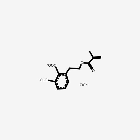 C=C(C)C(=O)OCCc1cccc(C(=O)[O-])c1C(=O)[O-].[Cu+2]